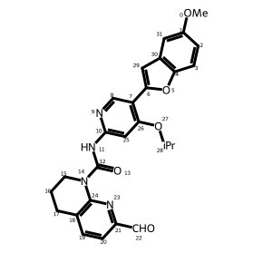 COc1ccc2oc(-c3cnc(NC(=O)N4CCCc5ccc(C=O)nc54)cc3OC(C)C)cc2c1